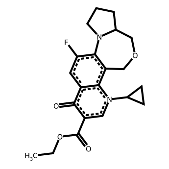 CCOC(=O)c1cn(C2CC2)c2c3c(c(F)cc2c1=O)N1CCCC1COC3